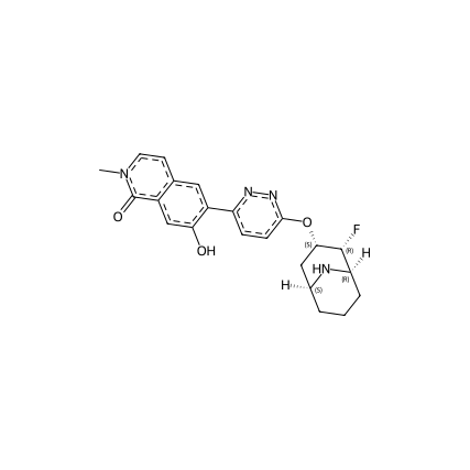 Cn1ccc2cc(-c3ccc(O[C@H]4C[C@@H]5CCC[C@@H](N5)[C@H]4F)nn3)c(O)cc2c1=O